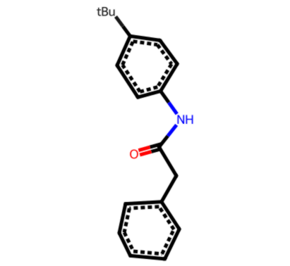 CC(C)(C)c1ccc(NC(=O)Cc2ccccc2)cc1